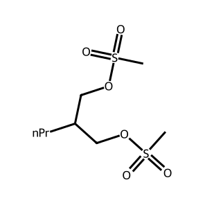 CCCC(COS(C)(=O)=O)COS(C)(=O)=O